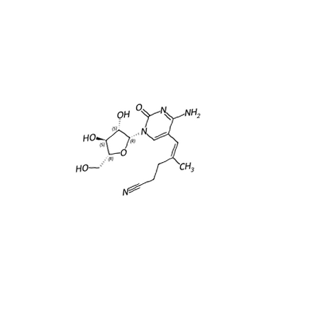 CC(=Cc1cn([C@@H]2O[C@H](CO)[C@@H](O)[C@@H]2O)c(=O)nc1N)CCC#N